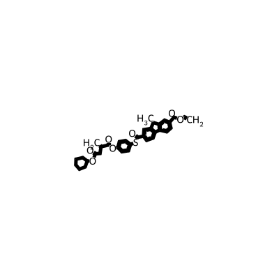 C=COC(=O)c1ccc2c(c1)C(C)c1cc(C(=O)Sc3ccc(OC(=O)C(=C)CC(=O)OC4CCCCC4)cc3)ccc1-2